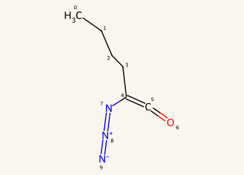 CCCCC(=C=O)N=[N+]=[N-]